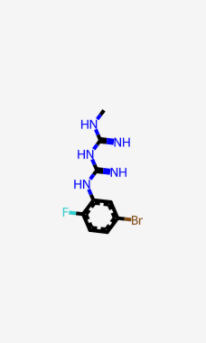 CNC(=N)NC(=N)Nc1cc(Br)ccc1F